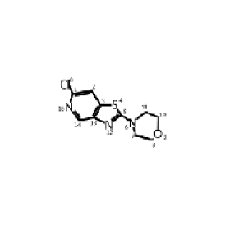 Clc1cc2sc(N3CCOCC3)nc2cn1